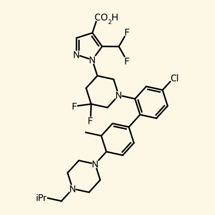 CC(C)CN1CCN(C2C=CC(c3ccc(Cl)cc3N3CC(n4ncc(C(=O)O)c4C(F)F)CC(F)(F)C3)=CC2C)CC1